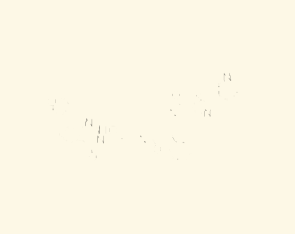 Cc1ccc(-c2nc(C)c(C(=O)N3CC[C@@H](C(=O)N4CCC(O)(Cn5cnc6c(-c7ccoc7)scc6c5=O)CC4)[C@H](c4ccccc4)C3)s2)cn1